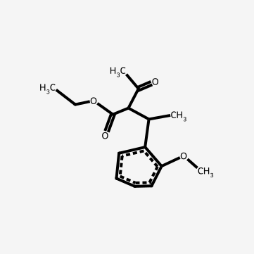 CCOC(=O)C(C(C)=O)C(C)c1ccccc1OC